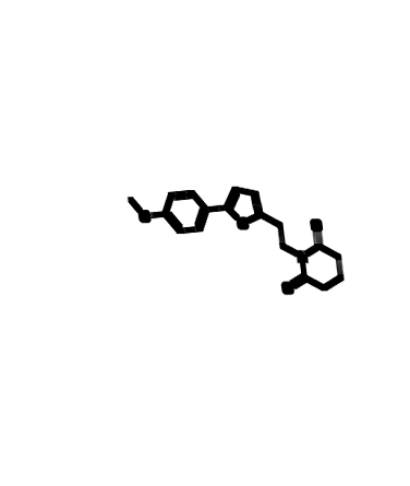 COc1ccc(-c2ccc(CCN3C(=O)CCCC3=O)o2)cc1